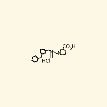 Cl.O=C(O)[C@@H]1CCCN(CCNCc2cccc(Cc3ccccc3)c2)C1